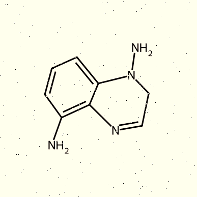 Nc1cccc2c1N=CCN2N